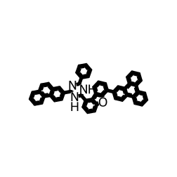 c1ccc(C2N=C(c3ccc4c(ccc5ccccc54)c3)NC(c3cccc4oc5c(-c6ccc7c8ccccc8c8ccccc8c7c6)cccc5c34)N2)cc1